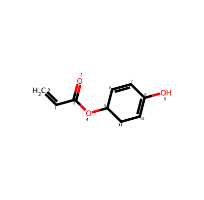 C=CC(=O)OC1C=CC(O)=CC1